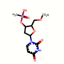 CP(=O)(O)OC1CC(n2ccc(=O)[nH]c2=O)OC1COC(=O)O